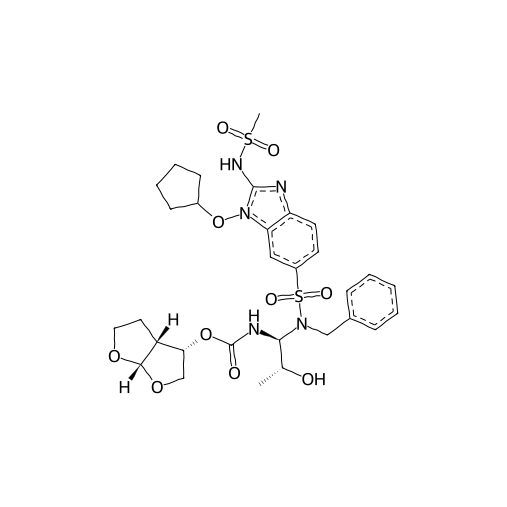 C[C@@H](O)[C@@H](NC(=O)O[C@@H]1CO[C@@H]2OCC[C@@H]21)N(Cc1ccccc1)S(=O)(=O)c1ccc2nc(NS(C)(=O)=O)n(OC3CCCC3)c2c1